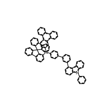 c1ccc(-n2c3ccccc3c3c(-c4cccc(-c5ccc(N(c6ccc7c8ccccc8c8ccccc8c7c6)c6cccc7c6C6(c8ccccc8-c8ccccc86)c6ccccc6-7)cc5)c4)cccc32)cc1